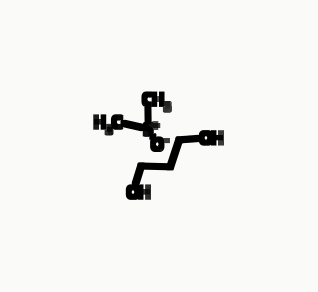 C[S+](C)[O-].OCCCO